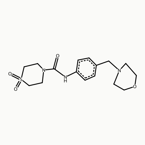 O=C(Nc1ccc(CN2CCOCC2)cc1)N1CCS(=O)(=O)CC1